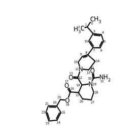 CC(C)c1cccc(C2=CCN(C(=O)C3C(C(=O)OCc4ccccc4)CCCN3C(N)=O)CC2)c1